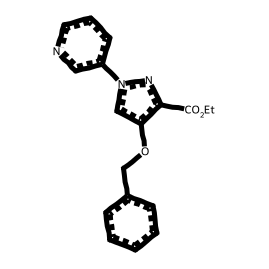 CCOC(=O)c1nn(-c2cccnc2)cc1OCc1ccccc1